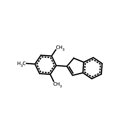 Cc1cc(C)c(C2=Cc3ccccc3[CH]2)c(C)c1